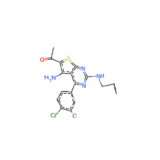 CCCNc1nc(-c2ccc(Cl)c(Cl)c2)c2c(N)c(C(C)=O)sc2n1